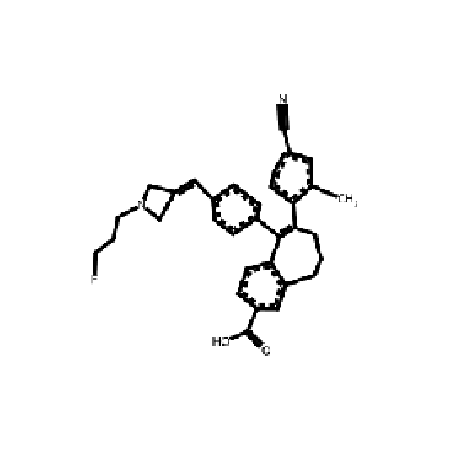 Cc1cc(C#N)ccc1C1=C(c2ccc(C=C3CN(CCCF)C3)cc2)c2ccc(C(=O)O)cc2CCC1